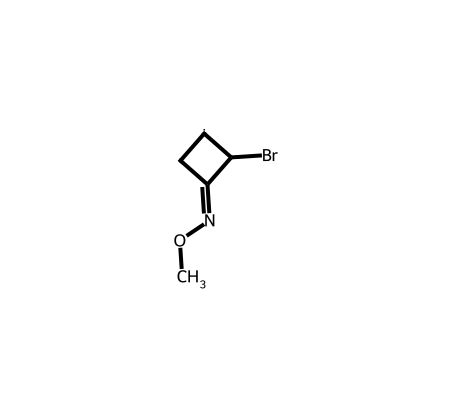 CON=C1C[CH]C1Br